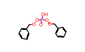 O=P(O)(OOCc1ccccc1)OOCc1ccccc1